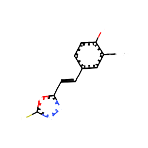 COc1cc(C=Cc2nnc(S)o2)ccc1O